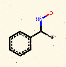 CC(C)C(N[O])c1ccccc1